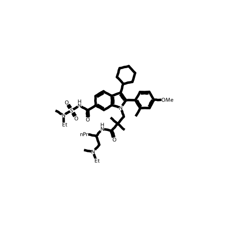 CCCC(CN(C)CC)NC(=O)C(C)(C)Cn1c(-c2ccc(OC)cc2C)c(C2CCCCC2)c2ccc(C(=O)NS(=O)(=O)N(C)CC)cc21